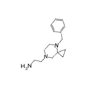 NCCN1CCN(Cc2ccccc2)C2(CC2)C1